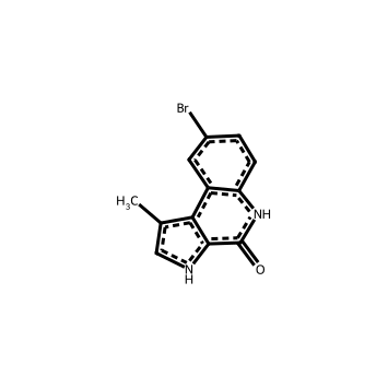 Cc1c[nH]c2c(=O)[nH]c3ccc(Br)cc3c12